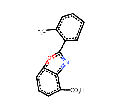 O=C(O)c1cccc2oc(-c3ccccc3C(F)(F)F)nc12